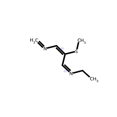 C=N/C=C(\C=N/CC)SC